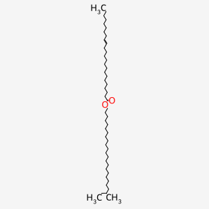 CCCCCCCCC=CCCCCCCCCCCCCCC(=O)OCCCCCCCCCCCCCCCCCCCCCC(C)CC